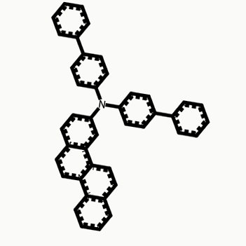 c1ccc(-c2ccc(N(c3ccc(-c4ccccc4)cc3)c3ccc4ccc5c6ccccc6ccc5c4c3)cc2)cc1